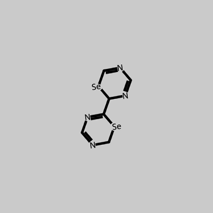 C1=NC=NC(C2=NC=NC[Se]2)[Se]1